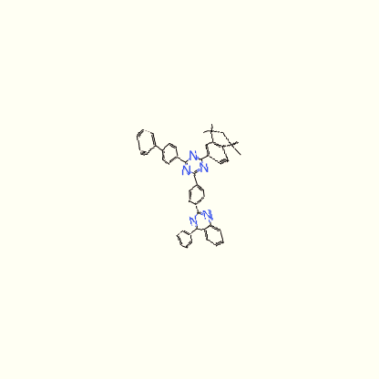 CC1(C)CC(C)(C)c2cc(-c3nc(-c4ccc(-c5ccccc5)cc4)nc(-c4ccc(-c5nc(-c6ccccc6)c6ccccc6n5)cc4)n3)ccc21